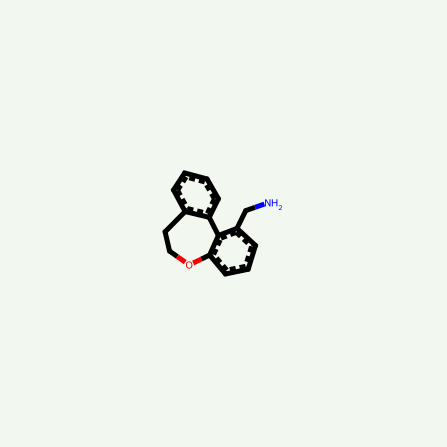 NCc1cccc2c1-c1ccccc1CCO2